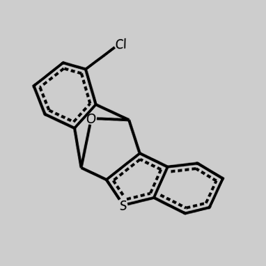 Clc1cccc2c1C1OC2c2sc3ccccc3c21